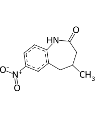 CC1CC(=O)Nc2ccc([N+](=O)[O-])cc2C1